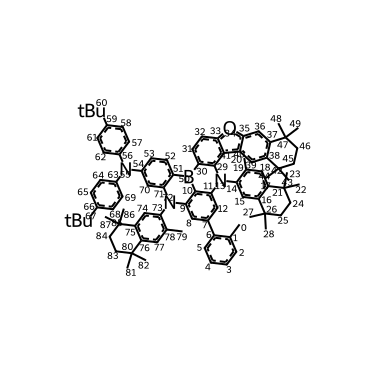 Cc1ccccc1-c1cc2c3c(c1)N(c1cc4c(cc1C)C(C)(C)CCC4(C)C)c1c(ccc4oc5cc6c(cc5c14)C(C)(C)CCC6(C)C)B3c1ccc(N(c3ccc(C(C)(C)C)cc3)c3ccc(C(C)(C)C)cc3)cc1N2c1cc2c(cc1C)C(C)(C)CCC2(C)C